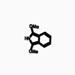 COc1[nH]c(OC)c2ccccc12